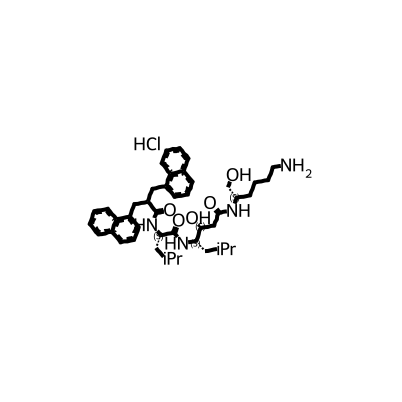 CC(C)C[C@H](NC(=O)C(Cc1cccc2ccccc12)Cc1cccc2ccccc12)C(=O)N[C@@H](CC(C)C)[C@@H](O)CC(=O)N[C@H](CO)CCCCN.Cl